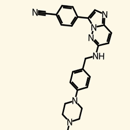 CN1CCN(c2ccc(CNc3ccc4ncc(-c5ccc(C#N)cc5)n4n3)cc2)CC1